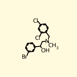 CN(Cc1ccc(Cl)cc1Cl)CC(O)c1cccc(Br)c1